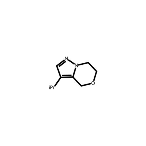 CC(C)c1cnn2c1COCC2